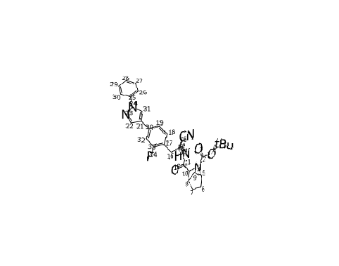 CC(C)(C)OC(=O)N1C2CCC(C2)C1C(=O)N[C@H](C#N)Cc1ccc(-c2cnn(-c3ccccc3)c2)cc1F